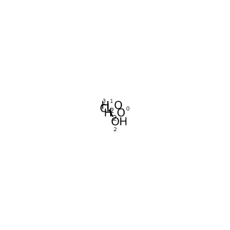 O.O.OCl